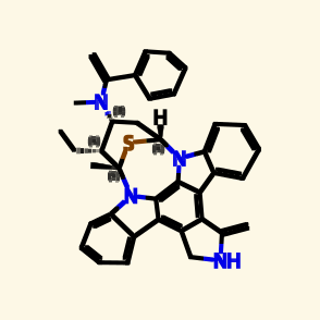 C=C1NCc2c1c1c3ccccc3n3c1c1c2c2ccccc2n1[C@@]1(C)S[C@@H]3C[C@@H](N(C)C(=C)c2ccccc2)[C@H]1CC